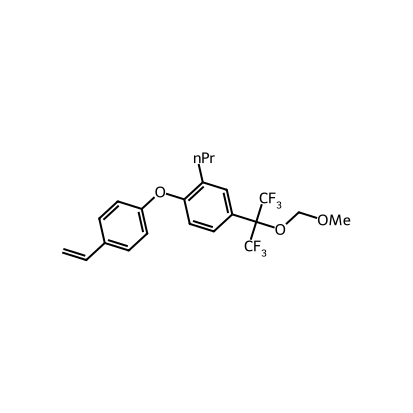 C=Cc1ccc(Oc2ccc(C(OCOC)(C(F)(F)F)C(F)(F)F)cc2CCC)cc1